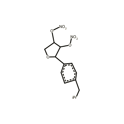 CC(C)Cc1ccc(C2OCC(O[N+](=O)[O-])C2O[N+](=O)[O-])cc1